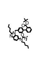 CCCCCN(C(=O)N(C)C)c1ccc2nc(CCCC)n(Cc3ccc(-c4ccccc4C(=O)OC(C)(C)C)cc3)c2c1